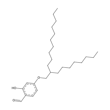 CCCCCCCCCCC(CCCCCCCC)COc1ccc(C=O)c(O)c1